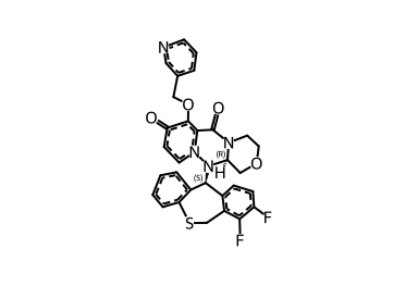 O=C1c2c(OCc3cccnc3)c(=O)ccn2N([C@@H]2c3ccccc3SCc3c2ccc(F)c3F)[C@@H]2COCCN12